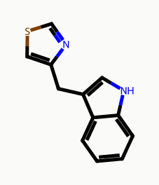 c1ccc2c(Cc3cscn3)c[nH]c2c1